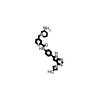 N[C@@H]1CCCN(Cc2ccnc(C(=O)Nc3ccc(-c4cc5c(N6CC(O)C6)ncnc5[nH]4)cc3)c2)C1